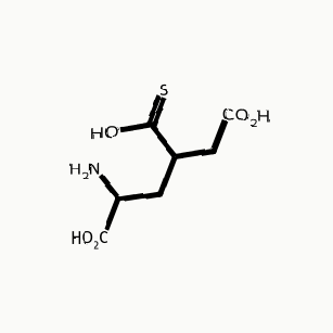 NC(CC(CC(=O)O)C(O)=S)C(=O)O